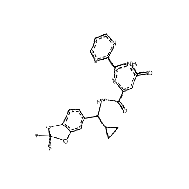 O=C(NC(c1ccc2c(c1)OC(F)(F)O2)C1CC1)c1cc(=O)[nH]c(-c2ncccn2)n1